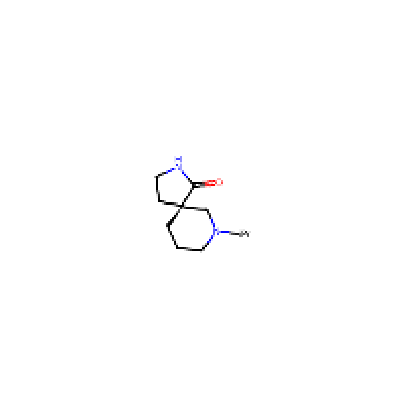 CC(C)N1CCC[C@]2(CCNC2=O)C1